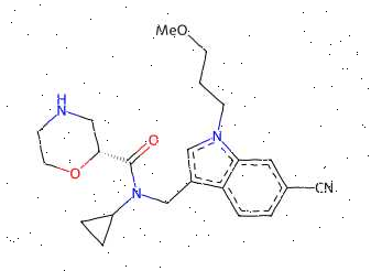 COCCCn1cc(CN(C(=O)[C@H]2CNCCO2)C2CC2)c2ccc(C#N)cc21